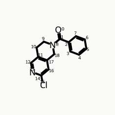 O=C(c1ccccc1)N1CCc2cnc(Cl)cc2C1